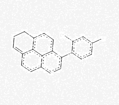 Brc1ccc(-c2ccc3ccc4c5c(ccc2c35)CCC=4)c(Br)c1